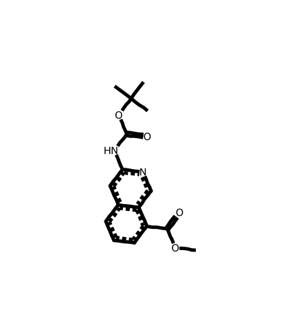 COC(=O)c1cccc2cc(NC(=O)OC(C)(C)C)ncc12